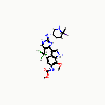 COC(=O)Nc1ccc2c(-c3nc(N[C@H]4CCC(C)(I)NC4)ncc3C(F)(F)F)c[nH]c2c1OC